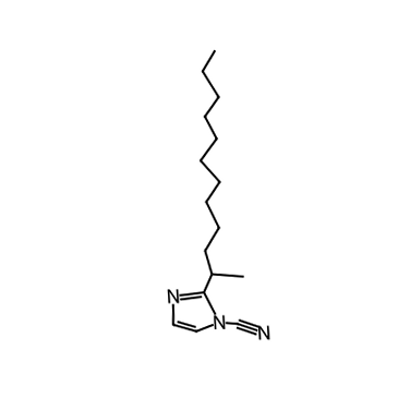 CCCCCCCCCCC(C)c1nccn1C#N